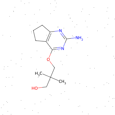 CC(C)(CO)COc1nc(N)nc2c1CCC2